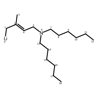 [Li][CH2]C(C)=CCN(CCCCCC)CCCCCC